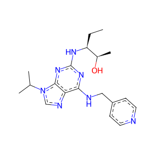 CC[C@H](Nc1nc(NCc2ccncc2)c2ncn(C(C)C)c2n1)[C@@H](C)O